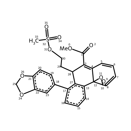 COC(=O)C1=C2C=CC=C3OCOC32c2cccc(-c3ccc4c(c3)OCO4)c2C1CCOS(C)(=O)=O